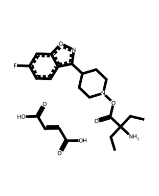 CCC(N)(CC)C(=O)ON1CCC(c2noc3cc(F)ccc23)CC1.O=C(O)C=CC(=O)O